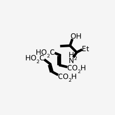 CCC(N)C(C)O.O=C(O)/C=C/C(=O)O.O=C(O)/C=C/C(=O)O